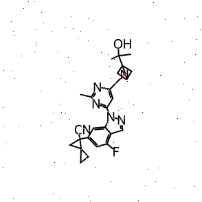 Cc1nc(N2CC3(C(C)(C)O)CC2C3)cc(-n2ncc3c(F)cc([C@@]4(C#N)CC45CC5)cc32)n1